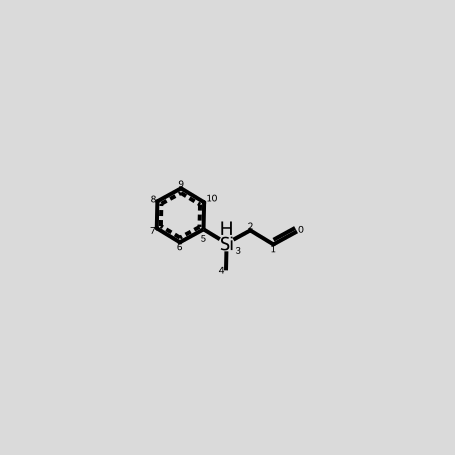 C=CC[SiH](C)c1ccccc1